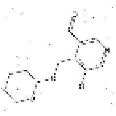 O=Cc1cncc(Cl)c1COC1CCCCO1